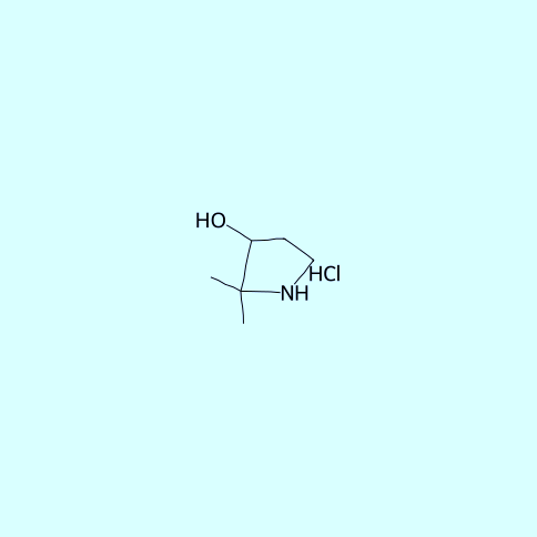 CC1(C)NCCC1O.Cl